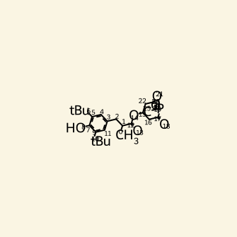 CC(Cc1cc(C(C)(C)C)c(O)c(C(C)(C)C)c1)C(=O)OC12CC(=O)P(C(=O)C1)C(=O)C2